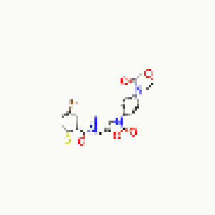 O=C(NC[C@H]1CN(c2ccc(N3CCOCC3=O)cc2)C(=O)O1)C1=CC(Br)=CCC1=S